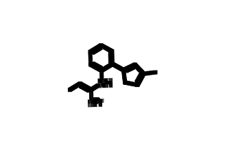 CC=C(CCC)Nc1ccccc1C1=CC(C)=CC1